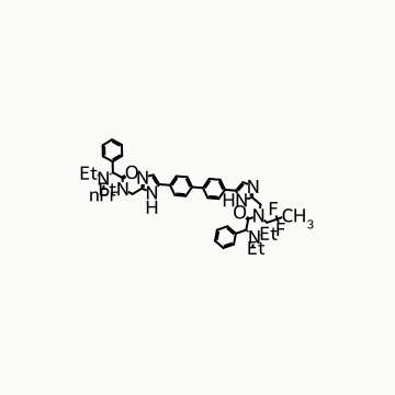 CCCN(Cc1ncc(-c2ccc(-c3ccc(-c4cnc(CN(CC(C)(F)F)C(=O)[C@@H](c5ccccc5)N(CC)CC)[nH]4)cc3)cc2)[nH]1)C(=O)[C@@H](c1ccccc1)N(CC)CC